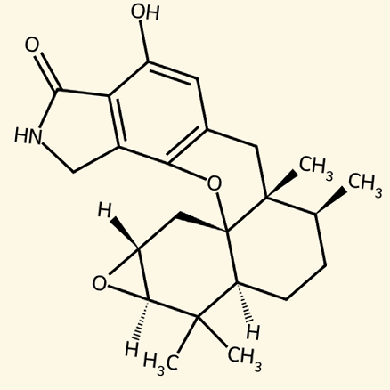 C[C@H]1CC[C@H]2C(C)(C)[C@H]3O[C@@H]3C[C@]23Oc2c(cc(O)c4c2CNC4=O)C[C@]13C